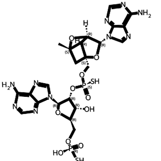 C[C@@]12C[C@]3(CO[P@](=O)(S)O[C@@H]4[C@H](O)[C@@H](CO[P@@](=O)(O)S)O[C@H]4n4cnc5c(N)ncnc54)O[C@@H](n4cnc5c(N)ncnc54)[C@H](O1)[C@@H]32